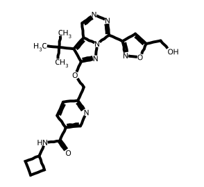 CC(C)(C)c1c(OCc2ccc(C(=O)NC3CCC3)cn2)nn2c(-c3cc(CO)on3)nncc12